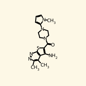 Cc1nnc2sc(C(=O)N3CCN(c4cccn4C)CC3)c(N)c2c1C